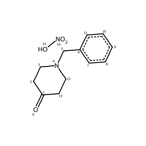 O=C1CCN(Cc2ccccc2)CC1.O=[N+]([O-])O